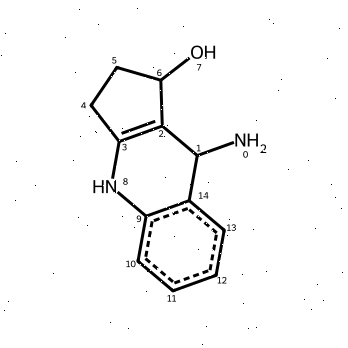 NC1C2=C(CCC2O)Nc2ccccc21